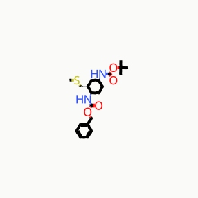 CSC[C@@H]1C[C@H](NC(=O)OC(C)(C)C)CC[C@@H]1NC(=O)OCc1ccccc1